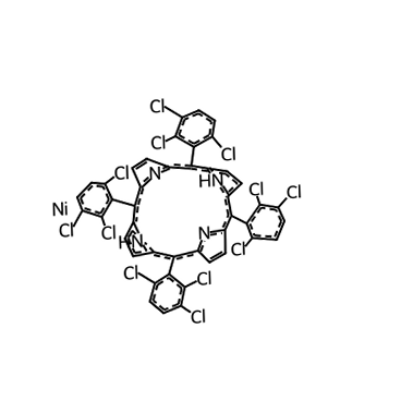 Clc1ccc(Cl)c(-c2c3nc(c(-c4c(Cl)ccc(Cl)c4Cl)c4ccc([nH]4)c(-c4c(Cl)ccc(Cl)c4Cl)c4nc(c(-c5c(Cl)ccc(Cl)c5Cl)c5ccc2[nH]5)C=C4)C=C3)c1Cl.[Ni]